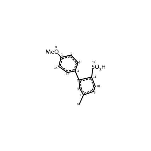 COc1ccc(-c2cc(C)ccc2S(=O)(=O)O)cc1